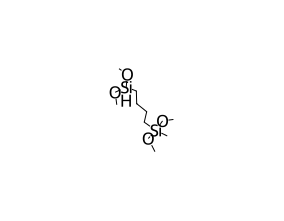 CO[SiH](CCCC[Si](C)(OC)OC)OC